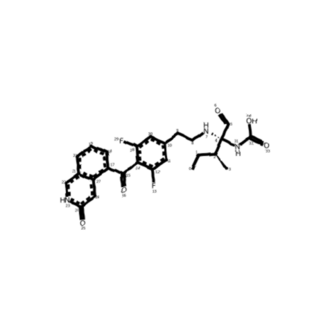 CC[C@H](C)[C@](C=O)(NCCc1cc(F)c(C(=O)c2cccc3c[nH]c(=O)cc23)c(F)c1)NC(=O)O